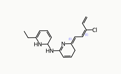 C=C/C(Cl)=C\C=C1/CC=CC(NC2C=CC=C(CC)N2)=N1